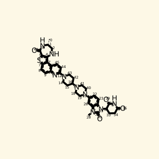 C[C@@H]1CNc2c(sc3ccc4nc(N5CCC(N6CCN(c7ccc8c(c7)n(C)c(=O)n8C7CCC(=O)NC7=O)CC6)CC5)ccc4c23)C(=O)N1